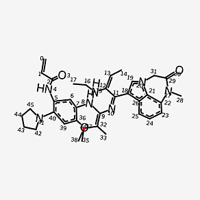 C=CC(=O)Nc1cc(NC(/N=C(\C(=C/C)NCC)c2cn3c4c(cccc24)N(C)C(=O)C3)=C(/C)CC)c(OC)cc1N1CCCC1